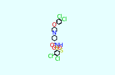 O=C(NS(=O)(=O)C1=CC(Cl)=C(Cl)CC1=S)[C@H]1CC[C@H](N2CCC(Oc3ccc(Cl)c(Cl)c3)CC2)CC1